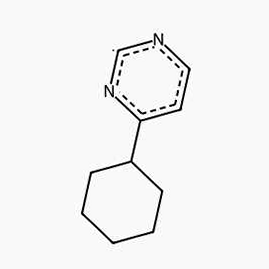 [c]1nccc(C2CCCCC2)n1